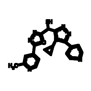 Cc1cc(-c2nnc(C(S)c3nnc(-c4ccncc4)n3C3CC3)o2)ccn1